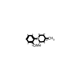 COc1ccccc1N1CCC(C)CC1